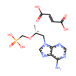 C[C@H](Cn1cnc2c(N)ncnc21)OCP(=O)(O)O.O=C(O)/C=C/C(=O)O